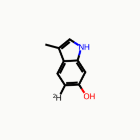 [2H]c1cc2c(C)c[nH]c2cc1O